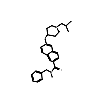 CC(C)CN1CCC(Oc2ccc3cc(C(=O)N(C)Cc4ccccc4)ccc3c2)CC1